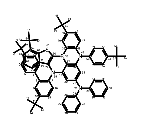 CC(C)(C)c1ccc(-c2cc(C(C)(C)C)ccc2N2c3cc(N(c4ccccc4)c4ccccc4)cc4c3B(c3cc(C(C)(C)C)ccc3N4c3ccc(C(C)(C)C)cc3)c3sc4c(C(C)(C)C)cccc4c32)cc1